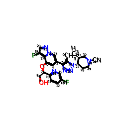 Cc1c(-c2cc(O[C@H](CO)c3ccc(F)cn3)c3c(F)cnn3c2)nnn1[C@H]1CCN(C#N)C[C@@H]1C